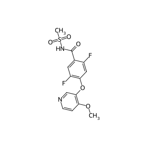 COc1ccncc1Oc1cc(F)c(C(=O)NS(C)(=O)=O)cc1F